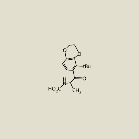 CC(NC(=O)O)C(=O)c1ccc2c(c1C(C)(C)C)OCCO2